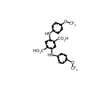 O=C(O)c1cc(Nc2ccc(OC(F)(F)F)cc2)c(C(=O)O)cc1Nc1ccc(OC(F)(F)F)cc1